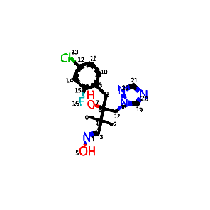 CC(C)(C=NO)C(O)(Cc1ccc(Cl)cc1F)Cn1cncn1